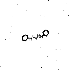 [CH](N=Nc1ccccc1)N=Nc1ccccc1